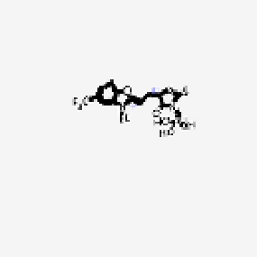 CCN1/C(=C/C=C2/SC(=S)N(C[PH](O)(O)O)C2=O)Oc2ccc(C(F)(F)F)cc21